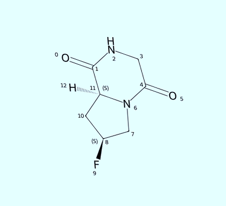 O=C1NCC(=O)N2C[C@@H](F)C[C@@H]12